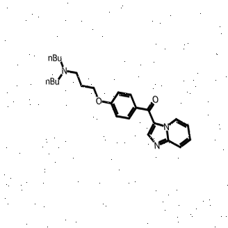 CCCCN(CCCC)CCCOc1ccc(C(=O)c2cnc3ccccn23)cc1